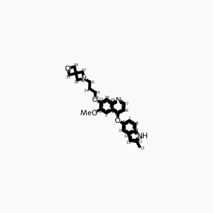 COc1cc2c(Oc3ccc4[nH]c(C)cc4c3)ccnc2cc1OCCCN1CC2(COC2)C1